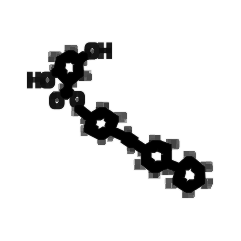 O=C(OCc1ccc(C#Cc2ccc(-c3ccccc3)cc2)cc1)c1cc(O)ccc1O